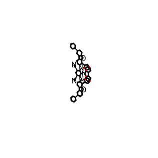 N#Cc1cc(C#N)c(-n2c3ccccc3c3c4oc5ccc(-c6ccccc6)cc5c4ccc32)c(-n2c3ccccc3c3ccccc32)c1-n1c2ccccc2c2c3oc4ccc(-c5ccccc5)cc4c3ccc21